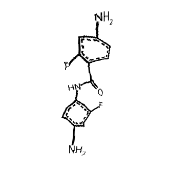 Nc1ccc(NC(=O)c2ccc(N)cc2F)c(F)c1